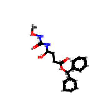 CC(C)(C)ONC(=O)NC(O)CCC(=O)OC(c1ccccc1)c1ccccc1